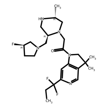 CCC(F)(F)c1cc2c(cn1)C(C)(C)CN2C(=O)CN1C[C@@H](C)NC[C@@H]1CN1CC[C@@H](F)C1